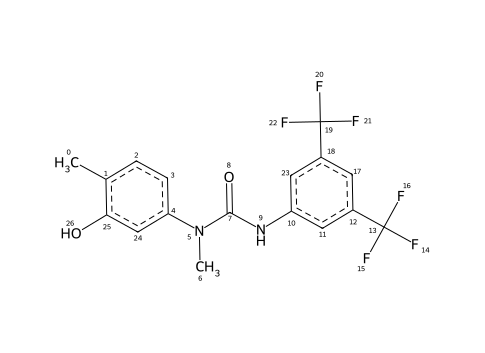 Cc1ccc(N(C)C(=O)Nc2cc(C(F)(F)F)cc(C(F)(F)F)c2)cc1O